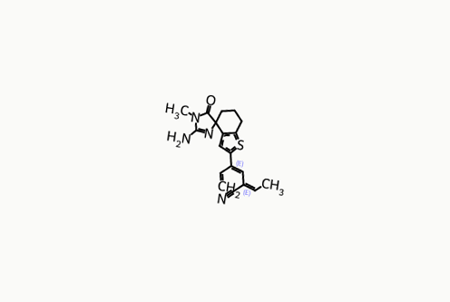 C=C/C(=C\C(C#N)=C/C)c1cc2c(s1)CCCC21N=C(N)N(C)C1=O